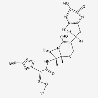 [2H]C([2H])(Sc1nc(=O)c(O)nn1CC)C1=C(C=O)N2C(=O)[C@@](C)(NC(=O)/C(=N\OCC)c3csc(NC)n3)[C@@]2(C)SC1